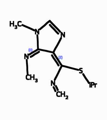 C=N/C(SC(C)C)=C1/N=CN(C)/C1=N/C